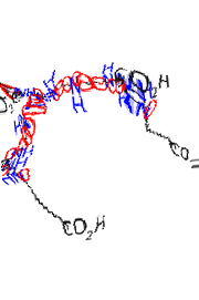 CCOC(C)N[C@@H](CCCCNC(=O)[C@H](CCCCNC(=O)COCCOCCNC(=O)COCCOCCNC(=O)CC[C@H](NC(=O)[C@H]1CC[C@H](CNC(=O)CCCCCCCCCCCCCCCCCCC(=O)O)CC1)C(=O)O)NC(=O)COCCOCCNC(=O)COCCOCCNC(=O)CC[C@H](NC(=O)[C@H]1CC[C@H](CNC(=O)CCCCCCCCCCCCCCCCCCC(=O)O)CC1)C(=O)O)C(=O)O